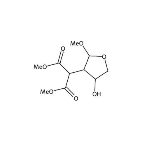 COC(=O)C(C(=O)OC)C1C(O)COC1OC